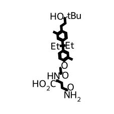 CCC(CC)(c1ccc(CC[C@H](O)C(C)(C)C)c(C)c1)c1ccc(OCC(=O)N[C@@H](CCC(N)=O)C(=O)O)c(C)c1